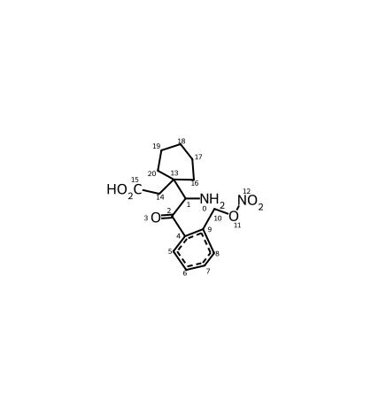 NC(C(=O)c1ccccc1CO[N+](=O)[O-])C1(CC(=O)O)CCCCC1